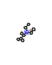 c1ccc(-c2cccc(-c3nc(-c4ccc(-c5cc6ccccc6c6ccccc56)c5ccccc45)nc(-c4cccc5c4sc4ccccc45)n3)c2)cc1